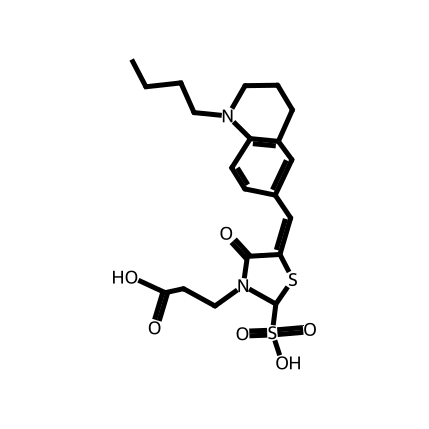 CCCCN1CCCc2cc(C=C3SC(S(=O)(=O)O)N(CCC(=O)O)C3=O)ccc21